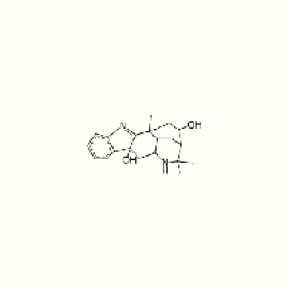 CC1(C)NC2CC3(O)C(=Nc4ccccc43)C3(C)CC(O)C1CC23